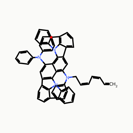 C=C/C=C\C=C/CN(c1ccccc1)c1cc2c3cccc4c5ccccc5n(c43)c2c2c(N(c3ccccc3)c3ccccc3)cc3c4cccc5c6ccccc6n(c54)c3c12